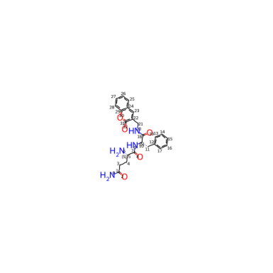 NC(=O)CC[C@H](N)C(=O)N[C@@H](Cc1ccccc1)C(=O)NCc1cc2ccccc2oc1=O